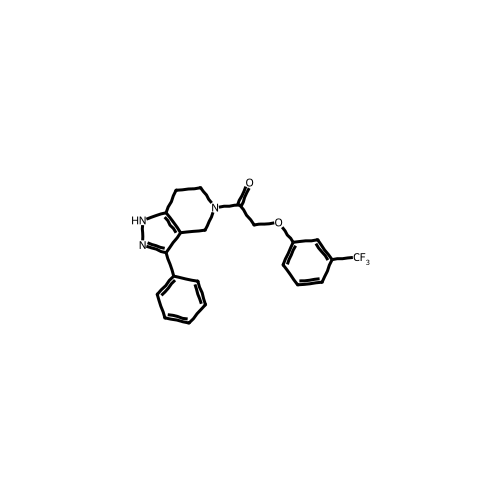 O=C(COc1cccc(C(F)(F)F)c1)N1CCc2[nH]nc(-c3ccccc3)c2C1